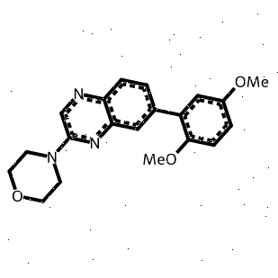 COc1ccc(OC)c(-c2ccc3ncc(N4CCOCC4)nc3c2)c1